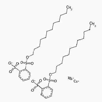 CCCCCCCCCCCCOS(=O)(=O)c1ccccc1S(=O)(=O)[O-].CCCCCCCCCCCCOS(=O)(=O)c1ccccc1S(=O)(=O)[O-].[Cs+].[Rb+]